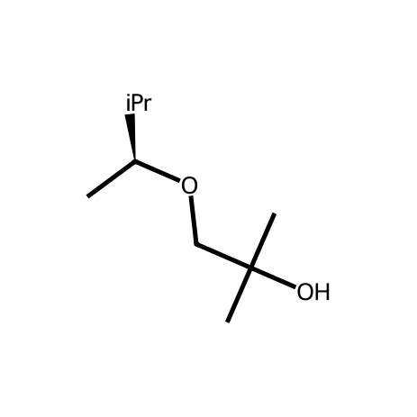 CC(C)[C@H](C)OCC(C)(C)O